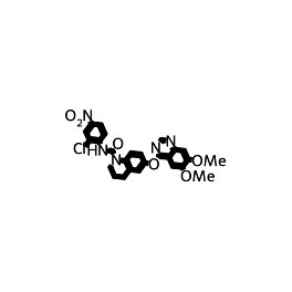 COc1cc2ncnc(Oc3ccc4c(c3)CCCN4C(=O)Nc3ccc([N+](=O)[O-])cc3Cl)c2cc1OC